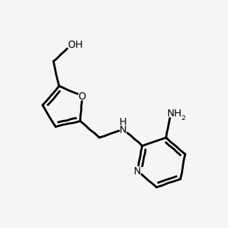 Nc1cccnc1NCc1ccc(CO)o1